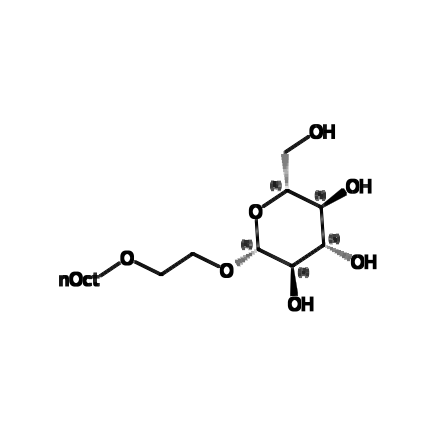 CCCCCCCCOCCO[C@@H]1O[C@H](CO)[C@@H](O)[C@H](O)[C@H]1O